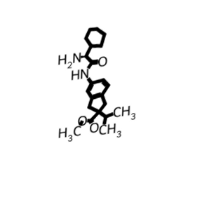 COC(=O)C1(C(C)C)Cc2ccc(NC(=O)[C@@H](N)C3CCCCC3)cc2C1